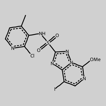 COc1ncc(I)c2nc(S(=O)(=O)Nc3c(C)ccnc3Cl)nn12